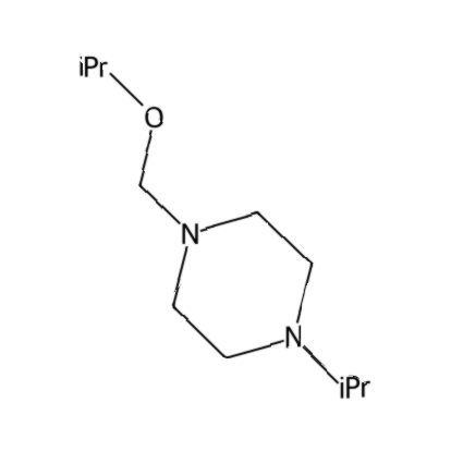 CC(C)OCN1CCN(C(C)C)CC1